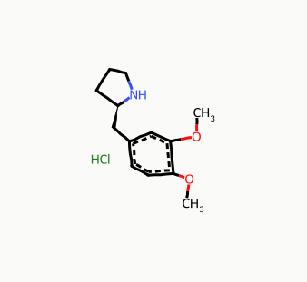 COc1ccc(C[C@H]2CCCN2)cc1OC.Cl